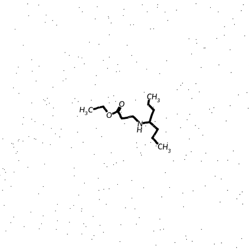 CCCC(CCC)NCCC(=O)OCC